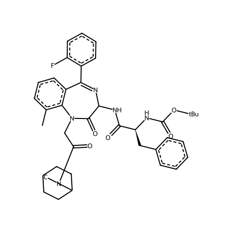 Cc1cccc2c1N(CC(=O)N1CC3CCC(CC3)C1)C(=O)C(NC(=O)[C@H](Cc1ccccc1)NC(=O)OC(C)(C)C)N=C2c1ccccc1F